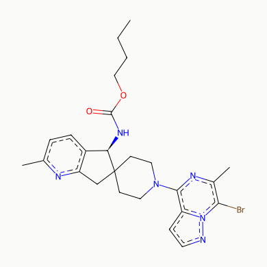 CCCCOC(=O)N[C@@H]1c2ccc(C)nc2CC12CCN(c1nc(C)c(Br)n3nccc13)CC2